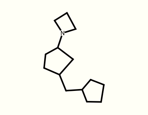 C1CCC(CC2CCC(N3CCC3)C2)C1